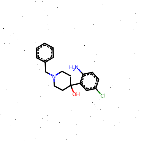 Nc1ccc(Cl)cc1C1(O)CCN(Cc2ccccc2)CC1